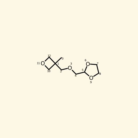 CC1(COCC2OCCO2)COC1